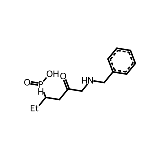 CCC(CC(=O)CNCc1ccccc1)[PH](=O)O